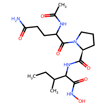 CCC(C)C(NC(=O)[C@@H]1CCCN1C(=O)C(CCC(N)=O)NC(C)=O)C(=O)NO